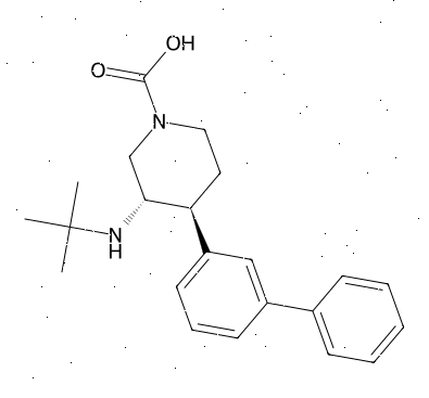 CC(C)(C)N[C@@H]1CN(C(=O)O)CC[C@H]1c1cccc(-c2ccccc2)c1